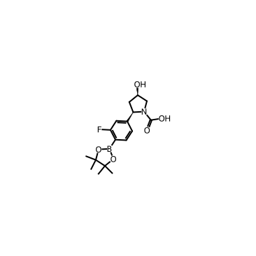 CC1(C)OB(c2ccc([C@H]3C[C@@H](O)CN3C(=O)O)cc2F)OC1(C)C